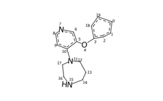 c1ccc(Oc2cnccc2N2CCCNCC2)cc1